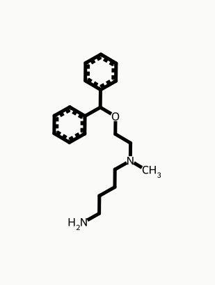 CN(CCCCN)CCOC(c1ccccc1)c1ccccc1